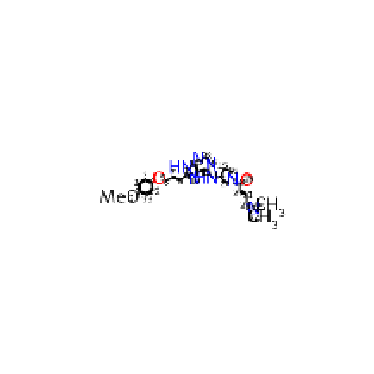 COc1ccc(OC/C=C/c2nc3c(NC4CCN(C(=O)/C=C/CN(C)C)C4)ncnc3[nH]2)cc1